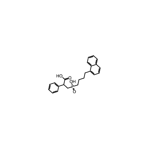 O=C(O)C(CP(=O)(O)CCCCc1cccc2ccccc12)c1ccccc1